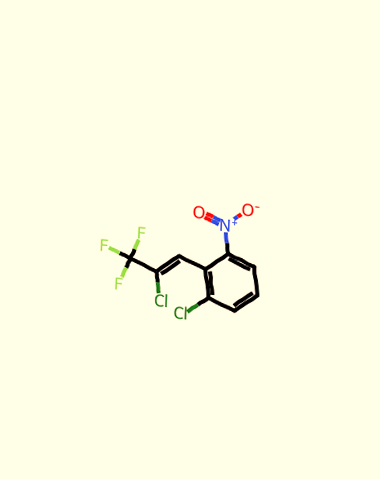 O=[N+]([O-])c1cccc(Cl)c1C=C(Cl)C(F)(F)F